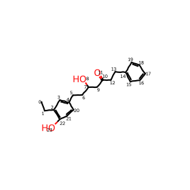 CCc1cc(CCC(O)CC(=O)CCc2ccccc2)ccc1O